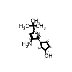 CC(C)(C)n1cc(N)c([C@H]2CC[C@@H](O)C2)n1